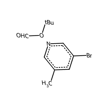 CC(C)(C)OC=O.Cc1cncc(Br)c1